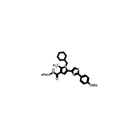 CCCCCNC(=O)c1cc(-c2csc(-c3ccc(OC)cc3)n2)n(CC2CCCCC2)c1C